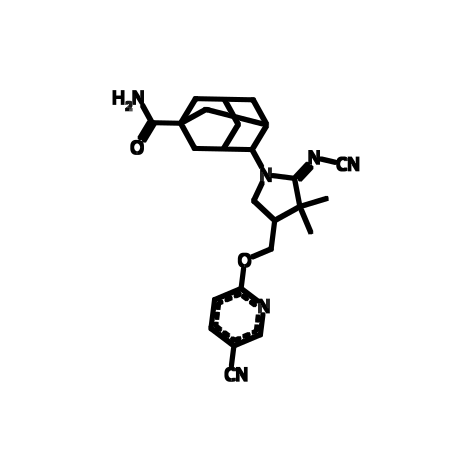 CC1(C)C(=NC#N)N(C2C3CC4CC2CC(C(N)=O)(C4)C3)CC1COc1ccc(C#N)cn1